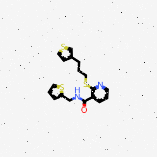 O=C(NCc1cccs1)c1cccnc1SCCCc1ccsc1